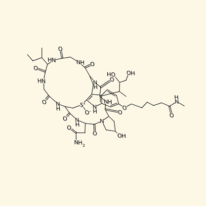 CCC(C)C1NC(=O)CNC(=O)C2Cc3c([nH]c4cc(OCCCCCC(=O)NC)ccc34)[S+]([O-])CC(NC(=O)CNC1=O)C(=O)NC(CC(N)=O)C(=O)N1CC(O)CC1C(=O)NC(C(C)C(O)CO)C(=O)N2